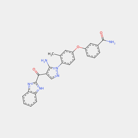 Cc1cc(Oc2cccc(C(N)=O)c2)ccc1-n1ncc(C(=O)c2nc3ccccc3[nH]2)c1N